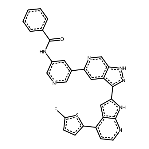 O=C(Nc1cncc(-c2cc3c(-c4cc5c(-c6ccc(F)s6)ccnc5[nH]4)n[nH]c3cn2)c1)c1ccccc1